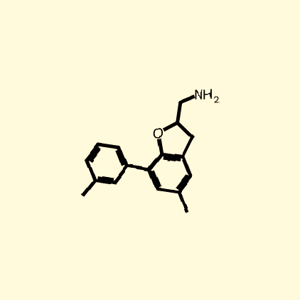 Cc1cccc(-c2cc(C)cc3c2OC(CN)C3)c1